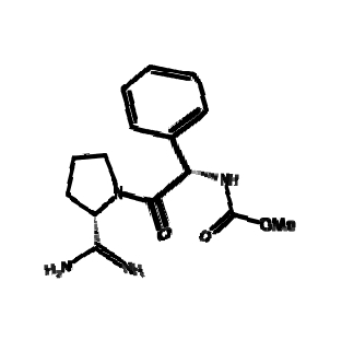 COC(=O)N[C@H](C(=O)N1CCC[C@H]1C(=N)N)c1ccccc1